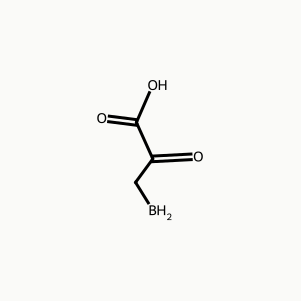 BCC(=O)C(=O)O